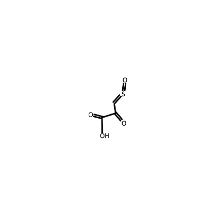 O=S=CC(=O)C(=O)O